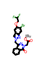 CC(C)(C)OC(=O)Cn1nc(Cn2cc3cc(OCC(F)F)c(Br)cc3n2)c2ccccc2c1=O